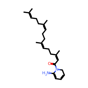 CC(C)=CCCC(C)=CCCC(C)=CCCC(C)=CC(=O)N1CC=CC=C1N